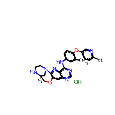 CCc1ccc(Oc2ccc(Nc3ncnc4cc5c(nc34)N3CCN[C@H](CO5)C3)cc2C)cn1.Cl